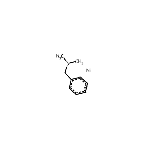 CN(C)Cc1cc[c]cc1.[Ni]